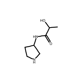 CC(O)C(=O)NC1CCNC1